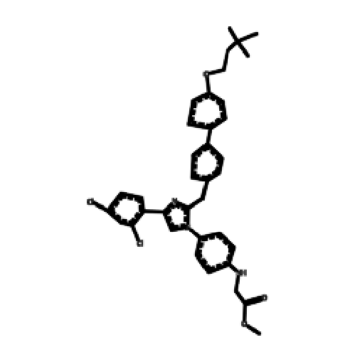 COC(=O)CNc1ccc(-n2cc(-c3ccc(Cl)cc3Cl)nc2Cc2ccc(-c3ccc(OCCC(C)(C)C)cc3)cc2)cc1